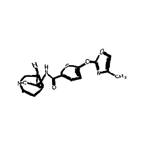 Cc1coc(Oc2ccc(C(=O)N[C@H]3CN4CCC3CC4)s2)n1